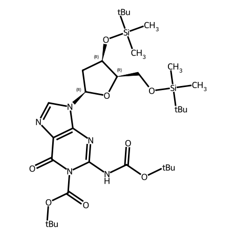 CC(C)(C)OC(=O)Nc1nc2c(ncn2[C@H]2C[C@@H](O[Si](C)(C)C(C)(C)C)[C@@H](CO[Si](C)(C)C(C)(C)C)O2)c(=O)n1C(=O)OC(C)(C)C